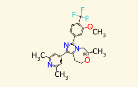 COc1cc(-c2nc(-c3cc(C)nc(C)c3)c3n2C[C@@H](C)OCC3)ccc1C(F)(F)F